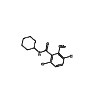 COc1c(Cl)ccc(Cl)c1C(=O)PC1CCCCC1